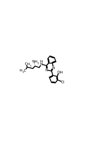 CC(C)C[C@H](N)CNc1nc(-c2cccc(Cl)c2O)nc2ccccc12